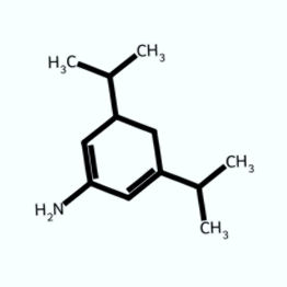 CC(C)C1=CC(N)=CC(C(C)C)C1